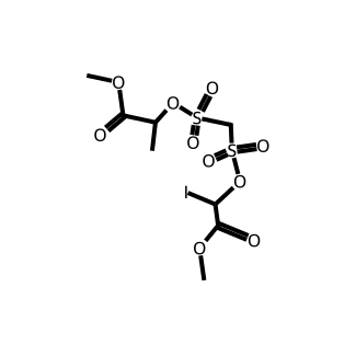 COC(=O)C(C)OS(=O)(=O)CS(=O)(=O)OC(I)C(=O)OC